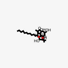 CCCCCCCCCCCCCC(=O)O[C@@]12[C@H](O)[C@@H](C)[C@]3(O)C4C=C(C)C(=O)[C@@]4(O)CC(CO)=C[C@H]3[C@H]1C2(C)C